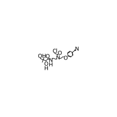 CC(C)(CO)[C@@H](O)C(=O)NCCN(CCOc1ccc(C#N)cc1)C(=O)CCl